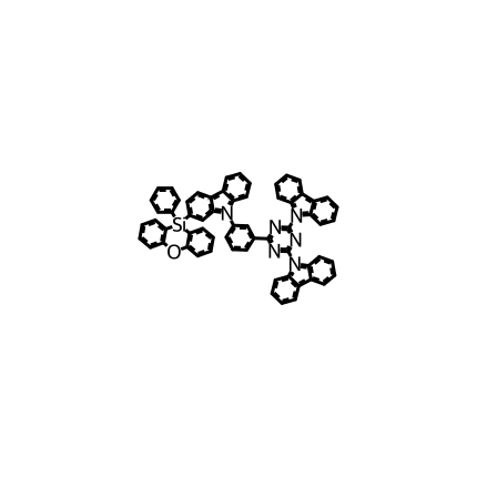 c1ccc([Si]2(c3ccc4c5ccccc5n(-c5cccc(-c6nc(-n7c8ccccc8c8ccccc87)nc(-n7c8ccccc8c8ccccc87)n6)c5)c4c3)c3ccccc3Oc3ccccc32)cc1